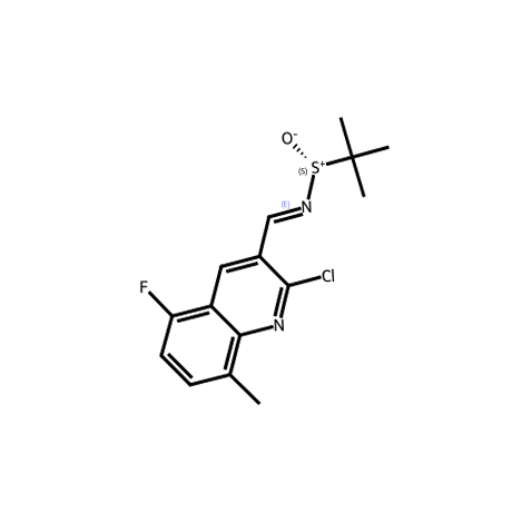 Cc1ccc(F)c2cc(/C=N/[S@+]([O-])C(C)(C)C)c(Cl)nc12